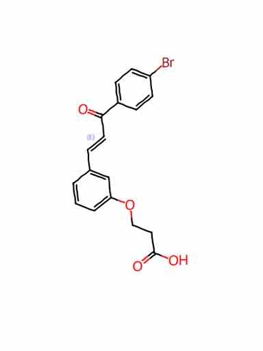 O=C(O)CCOc1cccc(/C=C/C(=O)c2ccc(Br)cc2)c1